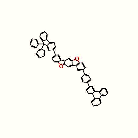 c1ccc(C2(c3ccccc3)c3ccccc3-c3ccc(-c4ccc5oc6cc7c(cc6c5c4)oc4ccc(-c5ccc(-c6ccc8c9ccccc9c9ccccc9c8c6)cc5)cc47)cc32)cc1